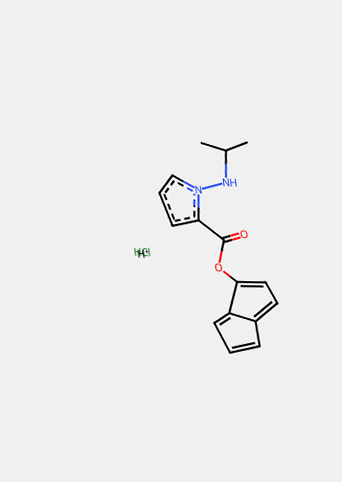 CC(C)Nn1cccc1C(=O)OC1=CC=C2C=CC=C21.Cl.[H+]